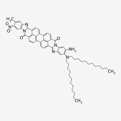 CCCCCCCCCCCCN(CCCCCCCCCCCC)c1cc2nc3c4ccc5c6ccc7c(=O)n8c9cc([N+](=O)[O-])c(C)cc9nc8c8ccc(c9ccc(c(=O)n3c2cc1N)c4c59)c6c78